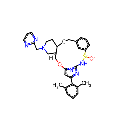 Cc1cccc(C)c1-c1cc2nc(n1)N[S+]([O-])c1cccc(c1)CCC1CCN(Cc3ncccn3)C[C@@H]1CO2